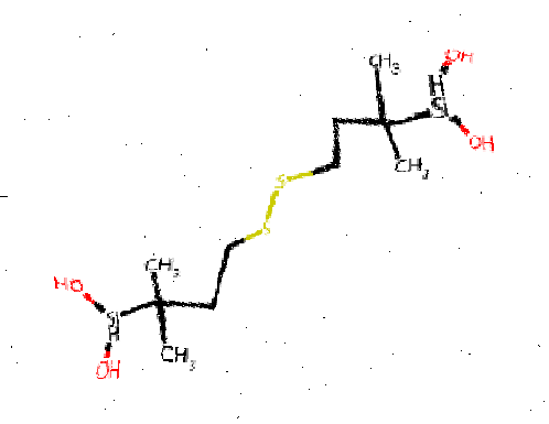 CC(C)(CCSSCCC(C)(C)[SiH](O)O)[SiH](O)O